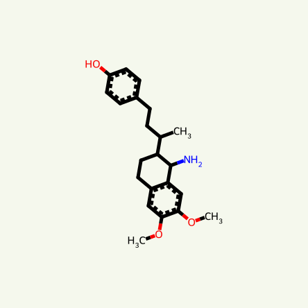 COc1cc2c(cc1OC)C(N)C(C(C)CCc1ccc(O)cc1)CC2